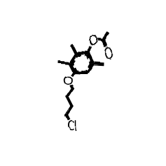 CC(=O)Oc1c(C)cc(OCCCCCl)c(C)c1C